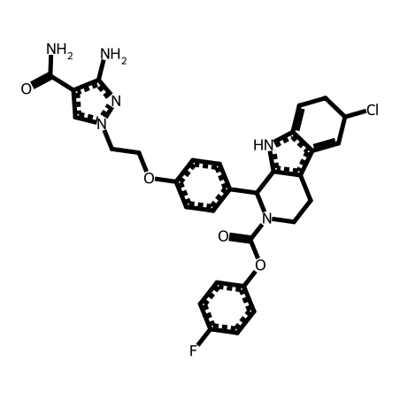 NC(=O)c1cn(CCOc2ccc(C3c4[nH]c5c(c4CCN3C(=O)Oc3ccc(F)cc3)=CC(Cl)CC=5)cc2)nc1N